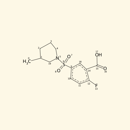 CC1CCCN(S(=O)(=O)c2ccc(F)c(C(=O)O)c2)C1